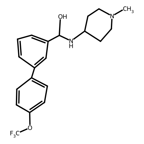 CN1CCC(NC(O)c2cccc(-c3ccc(OC(F)(F)F)cc3)c2)CC1